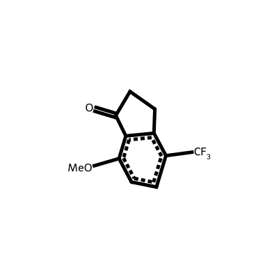 COc1ccc(C(F)(F)F)c2c1C(=O)CC2